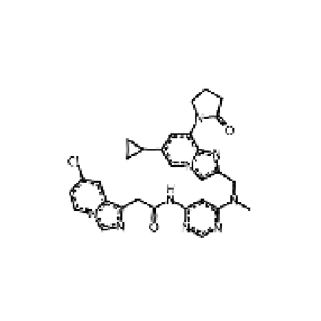 CN(Cc1cn2cc(C3CC3)cc(N3CCCC3=O)c2n1)c1cc(NC(=O)Cc2ncn3ccc(Cl)cc23)ncn1